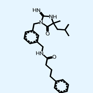 CC(C)CC1(C)NC(=N)N(Cc2cccc(CNC(=O)CCCc3ccccc3)c2)C1=O